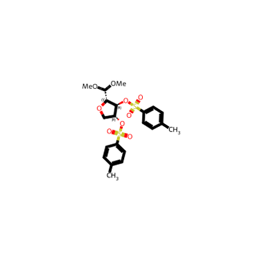 COC(OC)[C@H]1OC[C@@H](OS(=O)(=O)c2ccc(C)cc2)[C@@H]1OS(=O)(=O)c1ccc(C)cc1